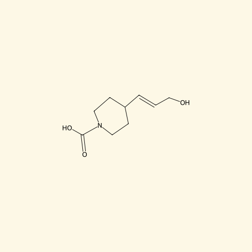 O=C(O)N1CCC(/C=C/CO)CC1